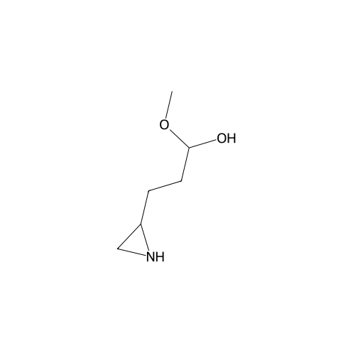 COC(O)CCC1CN1